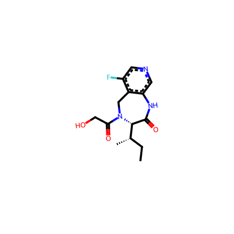 CC[C@H](C)[C@H]1C(=O)Nc2cncc(F)c2CN1C(=O)CO